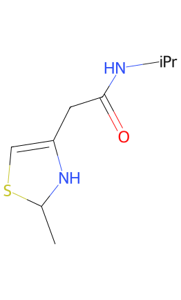 CC(C)NC(=O)CC1=CSC(C)N1